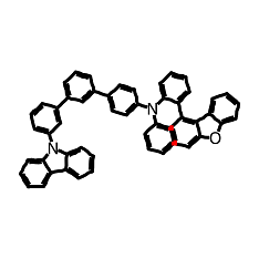 c1ccc(N(c2ccc(-c3cccc(-c4cccc(-n5c6ccccc6c6ccccc65)c4)c3)cc2)c2ccccc2-c2cccc3oc4ccccc4c23)cc1